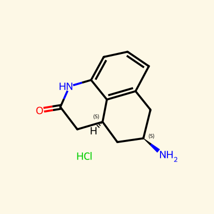 Cl.N[C@@H]1Cc2cccc3c2[C@H](CC(=O)N3)C1